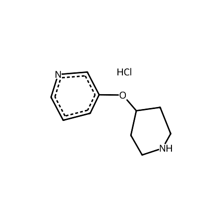 Cl.c1cncc(OC2CCNCC2)c1